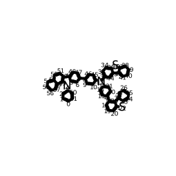 c1ccc(-n2c3cc(-c4ccc(N(c5ccc(-c6cccc7sc8ccccc8c67)cc5)c5ccc6sc7ccccc7c6c5)cc4)ccc3c3ccc4ccccc4c32)cc1